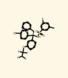 Cc1cc(F)cc(S(=O)(=O)N[C@](Cc2ccccc2)(c2cccc(OC(F)(F)C(F)F)c2)c2ccc(Cl)cn2)c1